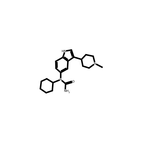 CN1CCC(c2c[nH]c3ccc(N(C(N)=O)C4CCCCC4)cc23)CC1